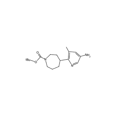 Cc1cc(N)cnc1C1CCCN(C(=O)OC(C)(C)C)CC1